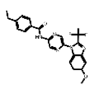 CCc1ccc(C(=O)Nc2cnc(-n3c(C(F)(F)F)nc4c3=CCC(OC)C=4)cn2)cc1